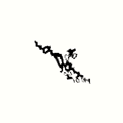 C=C(C)C(=O)Oc1cc(-c2ccc(CCc3ccc(CCCCC)cc3)cc2CC)c(OC(=O)C(=C)C)cc1CCCC(CO)CO